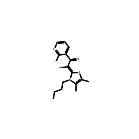 CCCCN1C(C)=C(C)S/C1=C(/F)C(=O)c1cccnc1Cl